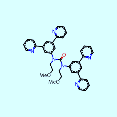 COCCN(C(=O)N(CCOC)c1cc(-c2ccccn2)cc(-c2ccccn2)c1)c1cc(-c2ccccn2)cc(-c2ccccn2)c1